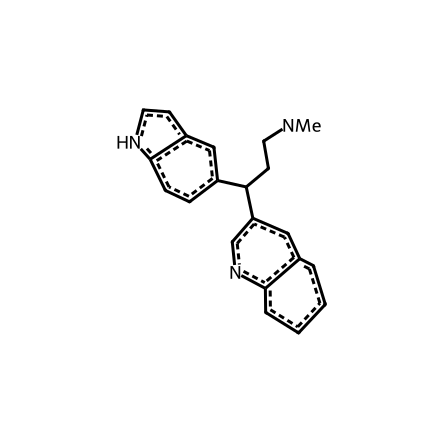 CNCCC(c1cnc2ccccc2c1)c1ccc2[nH]ccc2c1